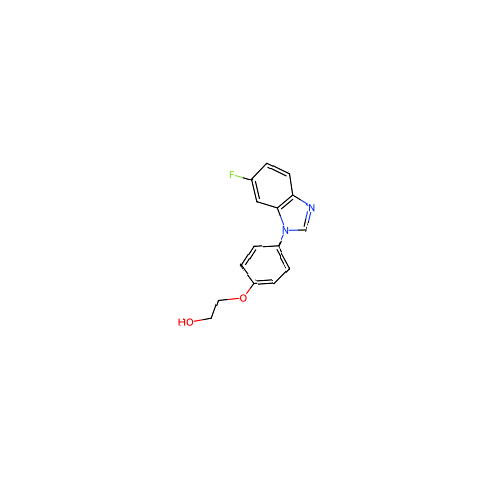 OCCOc1ccc(-n2cnc3ccc(F)cc32)cc1